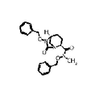 CN(OCc1ccccc1)C(=O)[C@@H]1CC[C@H]2CN1C(=O)N2OCc1ccccc1